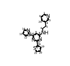 c1cncc(CCNc2cc(-n3cccn3)nc(-c3cccs3)n2)c1